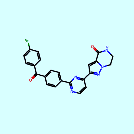 O=C(c1ccc(Br)cc1)c1ccc(-c2nccc(-c3cc4n(n3)CCNC4=O)n2)cc1